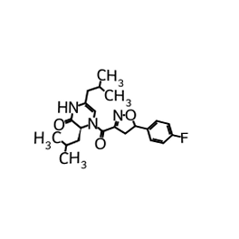 CC(C)CC1=CN(C(=O)C2=NOC(c3ccc(F)cc3)C2)[C@@H](CC(C)C)C(=O)N1